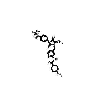 CC1C(=O)N(c2ccc(S(=O)(=O)C(F)(F)F)cc2)C(=O)N1Cc1ccnc(NC(=O)C2CCN(C)CC2)c1